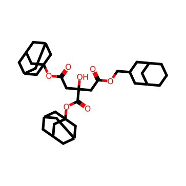 O=C(CC(O)(CC(=O)OC12CC3CC(CC(C3)C1)C2)C(=O)OC12CC3CC(CC(C3)C1)C2)OCC1CC2CCCC(C2)C1